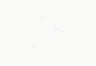 COCCOCCn1cc(C2CCN(CCOCC(=O)O)CC2)c2ccccc21